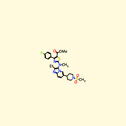 CCc1nc2ccc(C3CCN(S(C)(=O)=O)CC3)cn2c1N(C)c1nc(-c2ccc(F)cc2)c(C(=O)OC)s1